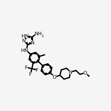 COCCN1CCC(Oc2ccc(-c3c(C)cc(Nc4n[nH]c(N)n4)cc3C(F)(F)F)cc2)CC1